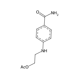 CC(=O)OCCNc1ccc(C(N)=O)cc1